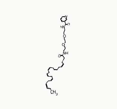 CC/C=C\C/C=C\C/C=C\C/C=C\C/C=C\C/C=C\CCC(=O)NCCOCCOCCNC(=O)c1cccnc1